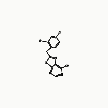 Oc1ncnc2sc(Cc3ccc(Cl)cc3Cl)nc12